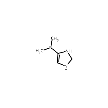 CN(C)C1=CNCN1